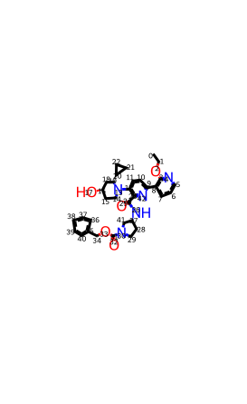 CCOc1ncccc1-c1ccc(N2CC[C@@H](O)C[C@@H]2C2CC2)c(C(=O)N[C@@H]2CCN(C(=O)OCc3ccccc3)C2)n1